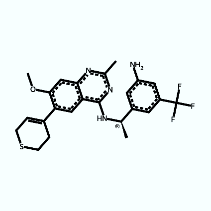 COc1cc2nc(C)nc(N[C@H](C)c3cc(N)cc(C(F)(F)F)c3)c2cc1C1=CCSCC1